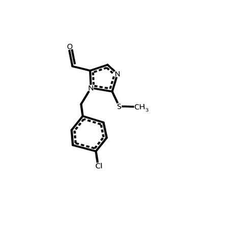 CSc1ncc(C=O)n1Cc1ccc(Cl)cc1